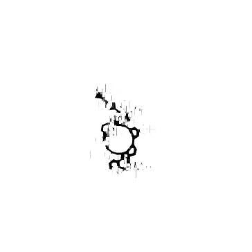 CCn1c(-c2cccnc2[C@H](C)OC)c2c3cc(ccc31)-c1cc(O)cc(c1)C[C@H](NC(=O)[C@H](C(C)C)N(C)C(=O)C1CN(S(=O)(=O)[C@H]3CN3C)C1)C(=O)N1CCC[C@H](N1)C(=O)OCC(C)(C)C2